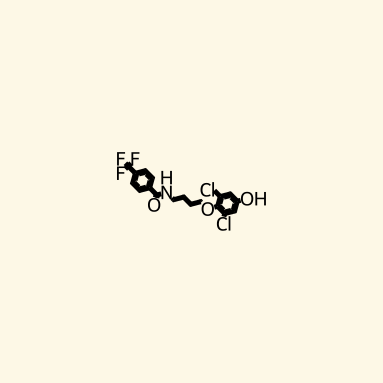 O=C(NCCCCOc1c(Cl)cc(O)cc1Cl)c1ccc(C(F)(F)F)cc1